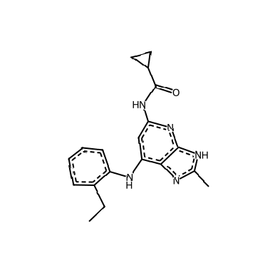 CCc1ccccc1Nc1cc(NC(=O)C2CC2)nc2[nH]c(C)nc12